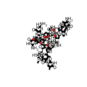 CC[C@H]1O[C@@H](n2cc(C)c(=O)[nH]c2=O)CC1OP(=O)(S)OC[C@H]1O[C@@H](c2[nH]c(=O)[nH]c(=O)c2C)CC1OP(=O)(S)OC[C@H]1O[C@@H](n2cnc3c(=O)[nH]c(N)nc32)CC1OP(=O)(S)OC[C@H]1O[C@@H](n2cnc3c(=O)[nH]c(N)nc32)CC1OP(=O)(S)OC[C@H]1O[C@@H](c2[nH]c(=O)[nH]c(=O)c2C)CC1OP(=O)(S)OC[C@H]1O[C@@H](n2cnc3c(=O)[nH]c(N)nc32)CC1OP(=O)(S)OC[C@H]1O[C@@H](c2[nH]c(=O)nc(N)c2C)CC1OP(=O)(S)OC